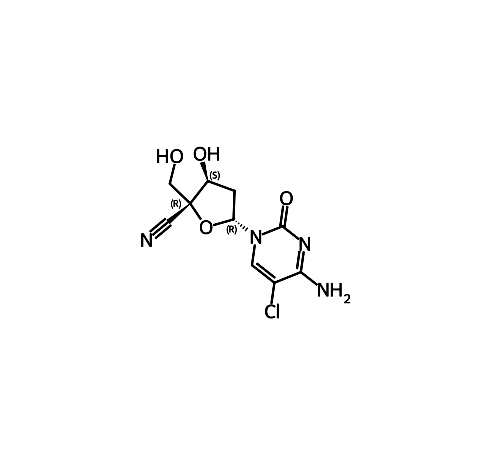 N#C[C@]1(CO)O[C@@H](n2cc(Cl)c(N)nc2=O)C[C@@H]1O